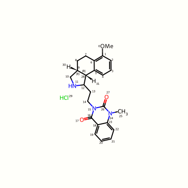 COc1cccc2c1CC[C@H]1CNC(CCn3c(=O)c4ccccc4n(C)c3=O)[C@@H]21.Cl